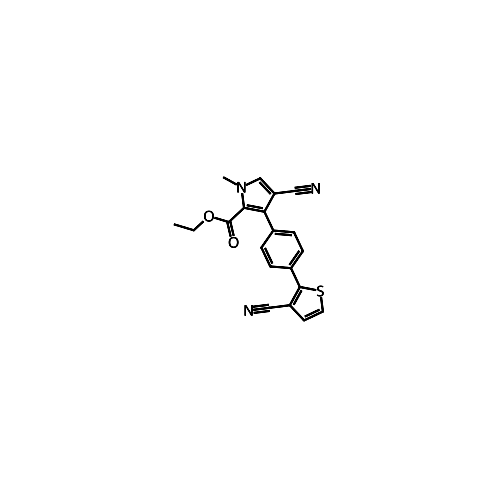 CCOC(=O)c1c(-c2ccc(-c3sccc3C#N)cc2)c(C#N)cn1C